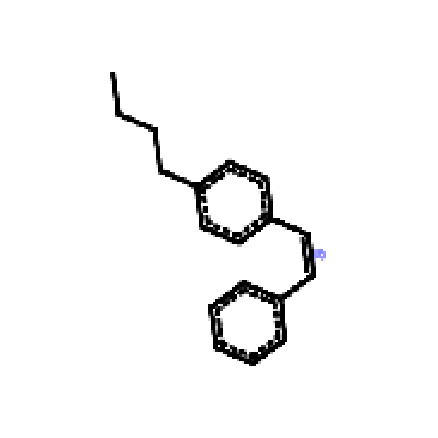 CCCCc1ccc(/C=C\c2ccccc2)cc1